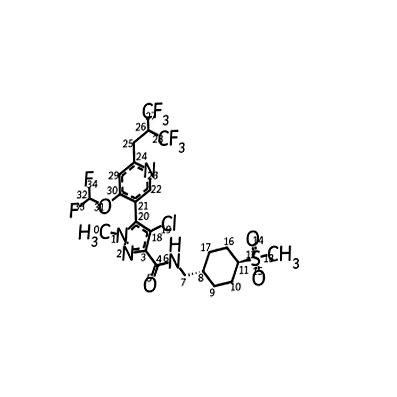 Cn1nc(C(=O)NC[C@H]2CC[C@H](S(C)(=O)=O)CC2)c(Cl)c1-c1cnc(CC(C(F)(F)F)C(F)(F)F)cc1OC(F)F